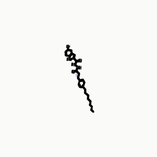 CCCCCCCCCN1C=CC(/C=C/C(=O)NNC(=O)c2cc3cc(Br)ccc3[nH]2)=CC1